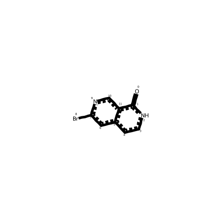 O=c1[nH]ccc2cc(Br)ncc12